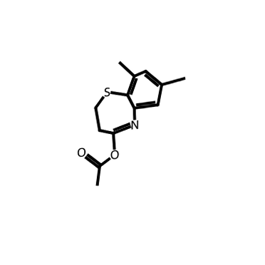 CC(=O)OC1=Nc2cc(C)cc(C)c2SCC1